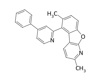 Cc1ccc2c(n1)oc1ccc(C)c(-c3cc(-c4ccccc4)ccn3)c12